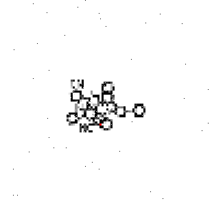 N#Cc1ccc(-n2c3ccccc3c3cc(-c4ccccc4)ccc32)c(-c2nc(-c3ccccc3)nc(-c3cc(C#N)ccc3-n3c4ccccc4c4cc(-c5ccccc5)ccc43)n2)c1